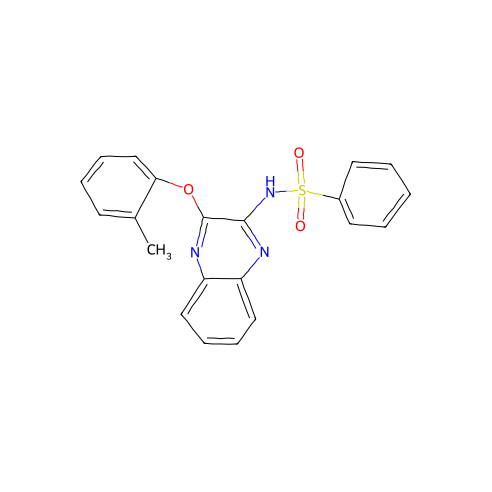 Cc1ccccc1Oc1nc2ccccc2nc1NS(=O)(=O)c1ccccc1